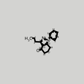 CCCc1nn(-c2ccccc2)c2c1C(=O)CCC2